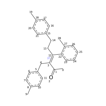 CC(=O)/C(Cc1ccc(C)cc1)=C(/CCc1ccc(C)cc1)c1ccccc1C